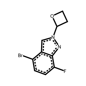 Fc1ccc(Br)c2cn(C3CCO3)nc12